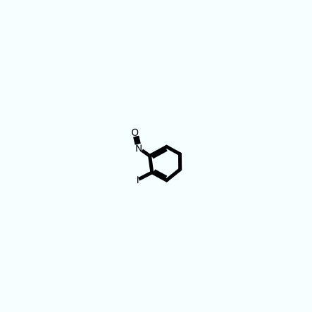 O=NC1=CCCC=C1I